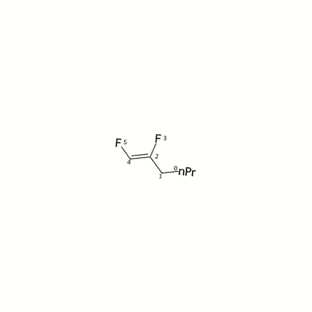 [CH2]CCCC(F)=CF